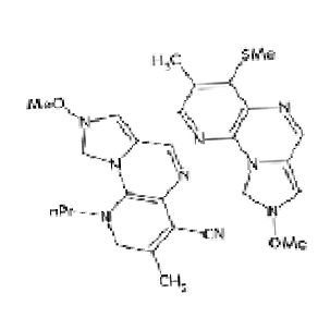 CCCN1CC(C)=C(C#N)C2=C1N1CN(OC)C=C1C=N2.CON1C=C2C=Nc3c(ncc(C)c3SC)N2C1